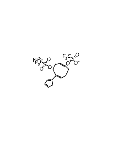 C1=CCC(/C2=C/CC/C=C\CC2)=C1.O=S(=O)([O-])C(F)(F)F.O=S(=O)([O-])C(F)(F)F.[Ni+2]